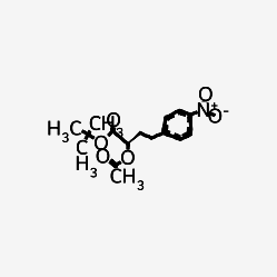 CC(=O)O[C@H](CCc1ccc([N+](=O)[O-])cc1)C(=O)OC(C)(C)C